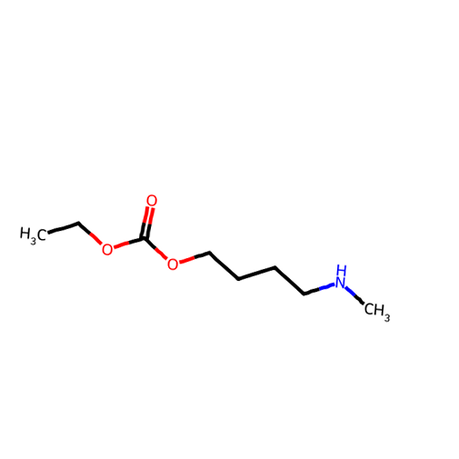 CCOC(=O)OCCCCNC